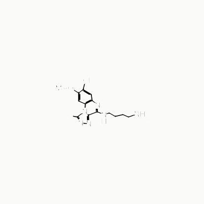 COc1cc2c(cc1C)nc(NCCCCN)c1nnc(C)n12